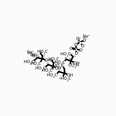 O=C(O)CC(O)(CC(=O)O)C(=O)O.O=C(O)CC(O)(CC(=O)O)C(=O)O.O=C(O)CC(O)(CC(=O)O)C(=O)O.O=C(O)CC(O)(CC(=O)O)C(=O)O.O=P([O-])([O-])OP(=O)([O-])[O-].[Na+].[Na+].[Na+].[Na+]